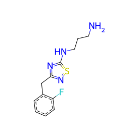 NCCCNc1nc(Cc2ccccc2F)ns1